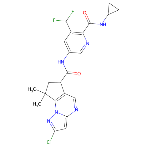 CC1(C)CC(C(=O)Nc2cnc(C(=O)NC3CC3)c(C(F)F)c2)c2cnc3cc(Cl)nn3c21